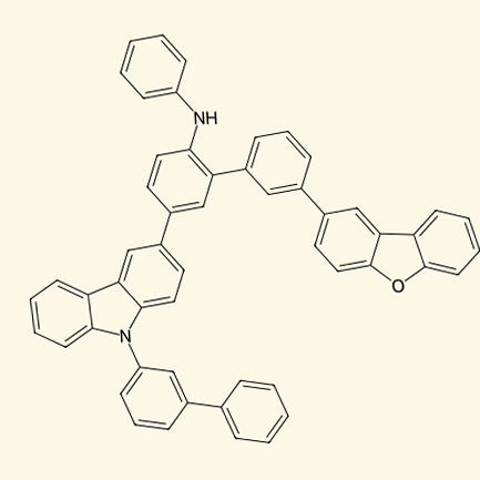 c1ccc(Nc2ccc(-c3ccc4c(c3)c3ccccc3n4-c3cccc(-c4ccccc4)c3)cc2-c2cccc(-c3ccc4oc5ccccc5c4c3)c2)cc1